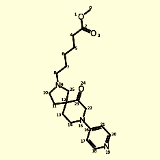 COC(=O)CCCCCN1CCC2(CCN(c3ccncc3)CC2=O)C1